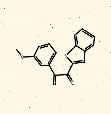 C=C(C(=O)c1cc2ccccc2s1)c1cccc(OC)c1